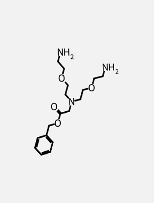 NCCOCCN(CCOCCN)CC(=O)OCc1ccccc1